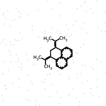 CC(C)=C1CC(=C(C)C)c2cccc3cccc1c23